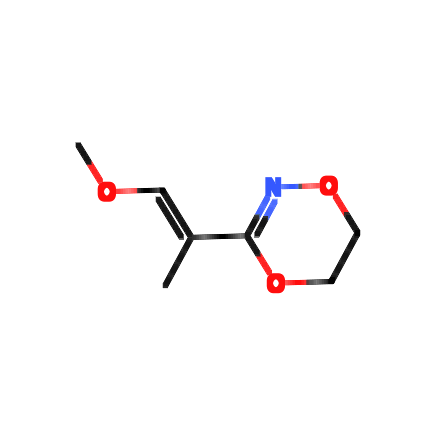 CO/C=C(\C)C1=NOCCO1